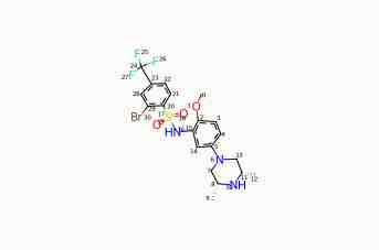 COc1ccc(N2C[C@@H](C)N[C@@H](C)C2)cc1NS(=O)(=O)c1ccc(C(F)(F)F)cc1Br